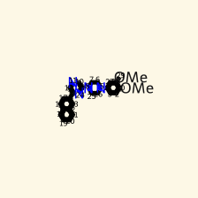 COc1ccc(N2CCN(c3cncc(-c4ccc5ccccc5c4)n3)CC2)cc1OC